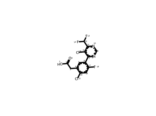 O=C(O)Cc1cc(-c2ncnc(C(F)F)c2Cl)c(F)cc1Cl